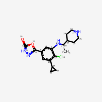 C[C@H](Nc1cc(-c2n[nH]c(=O)o2)cc(C2CC2)c1Cl)C1CCNCC1